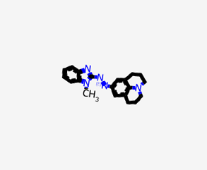 Cn1c(/N=N/c2cc3c4c(c2)CCCN4CCC3)nc2ccccc21